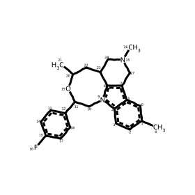 Cc1ccc2c(c1)c1c3n2CC(c2ccc(F)cc2)OC(C)CC3CN(C)C1